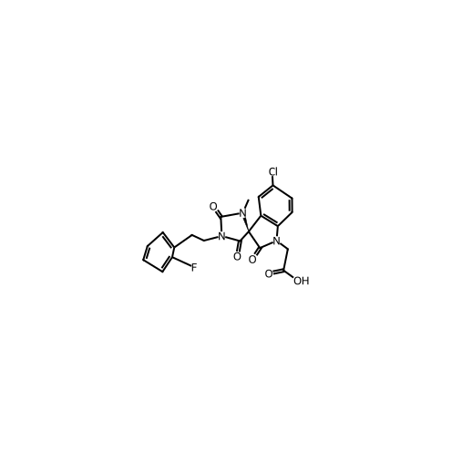 CN1C(=O)N(CCc2ccccc2F)C(=O)[C@]12C(=O)N(CC(=O)O)c1ccc(Cl)cc12